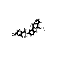 C[C@]1(c2cc(NC(=O)c3ncc(Cl)cc3Cl)ccc2F)Cn2nccc2C(N)=N1